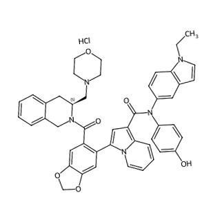 CCn1ccc2cc(N(C(=O)c3cc(-c4cc5c(cc4C(=O)N4Cc6ccccc6C[C@H]4CN4CCOCC4)OCO5)n4ccccc34)c3ccc(O)cc3)ccc21.Cl